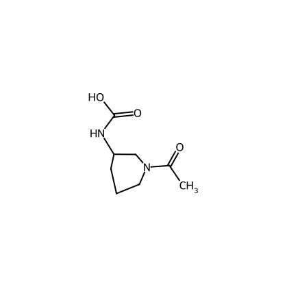 CC(=O)N1CCCC(NC(=O)O)C1